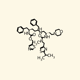 CC(C)c1nc(CN(C)C(=O)N[C@@H](CCN2CCOCC2)CNC(CC[C@H](Cc2ccccc2)NC(=O)OCc2cncs2)Cc2ccccc2)cs1